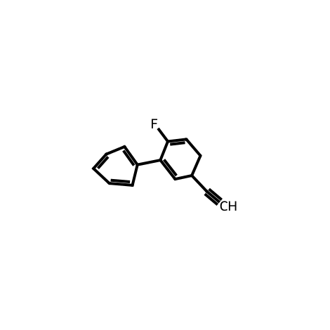 C#CC1C=C(c2ccccc2)C(F)=CC1